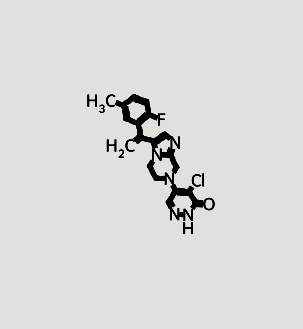 C=C(c1cc(C)ccc1F)c1cnc2n1CCN(c1cn[nH]c(=O)c1Cl)C2